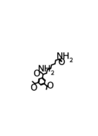 CC(=O)c1cc(C(C)=O)cc(C(CCCCCCC(N)=O)C(N)=O)c1